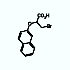 O=C(O)C(CBr)Oc1ccc2ccccc2c1